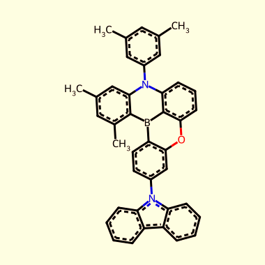 Cc1cc(C)cc(N2c3cc(C)cc(C)c3B3c4ccc(-n5c6ccccc6c6ccccc65)cc4Oc4cccc2c43)c1